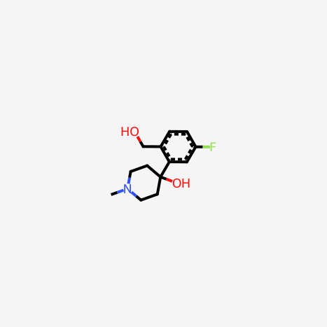 CN1CCC(O)(c2cc(F)ccc2CO)CC1